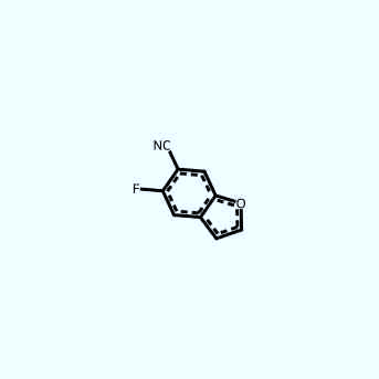 N#Cc1cc2occc2cc1F